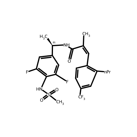 CCCc1cc(C(F)(F)F)ccc1C=C(C)C(=O)N[C@H](C)c1cc(F)c(NS(C)(=O)=O)c(F)c1